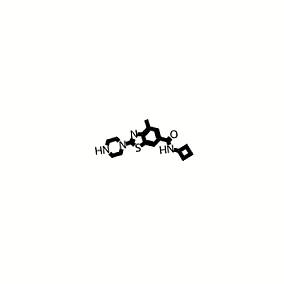 Cc1cc(C(=O)NC2CCC2)cc2sc(N3CCNCC3)nc12